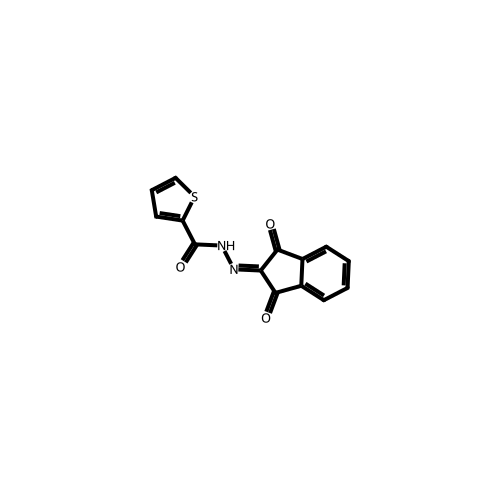 O=C(NN=c1c(=O)c2ccccc2c1=O)c1cccs1